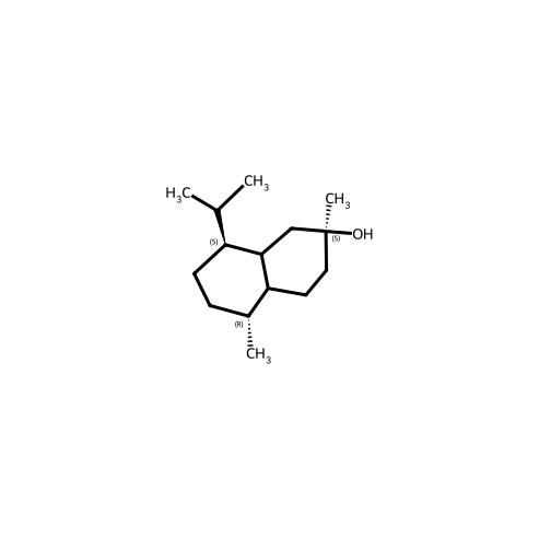 CC(C)[C@@H]1CC[C@@H](C)C2CC[C@](C)(O)CC21